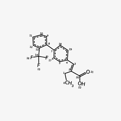 CC/C(=C\c1ccc(-c2ccccc2C(F)(F)F)cc1)C(=O)O